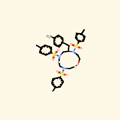 Cc1ccc(S(=O)(=O)N2CCOCCN(S(=O)(=O)c3ccc(C)cc3)C(Cc3ccc([N+](=O)[O-])cc3)CN(S(=O)(=O)c3ccc(C)cc3)CC2)cc1